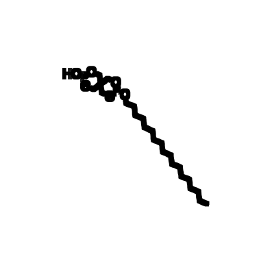 CCCCCCCCCCCCCCCCCCOP1OCC2(COP(O)OC2)CO1